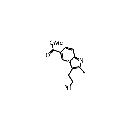 [3H]CCc1c(C)nc2ccc(C(=O)OC)cn12